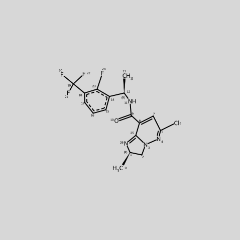 C[C@@H]1CN2N=C(Cl)C=C(C(=O)N[C@H](C)c3cccc(C(F)(F)F)c3F)C2=N1